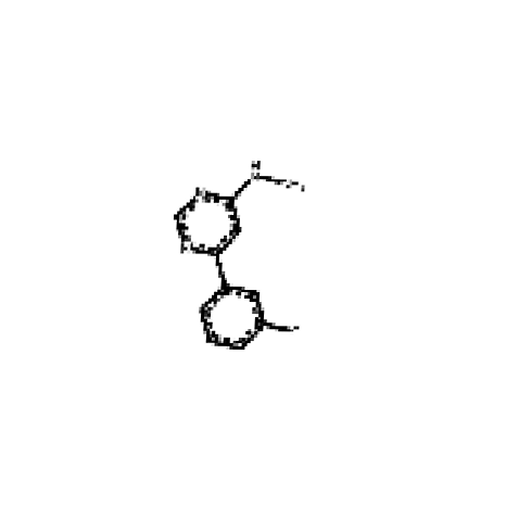 NNc1cc(-c2cccc(F)c2)ncn1